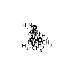 CC(C)=C(C)c1ccc(C(=O)NS(=O)(=O)c2cccc(N)n2)c(Oc2c(C)cc(C)cc2C)n1